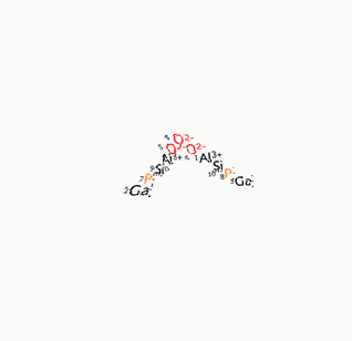 [Al+3].[Al+3].[Ga].[Ga].[O-2].[O-2].[O-2].[P].[P].[Si].[Si]